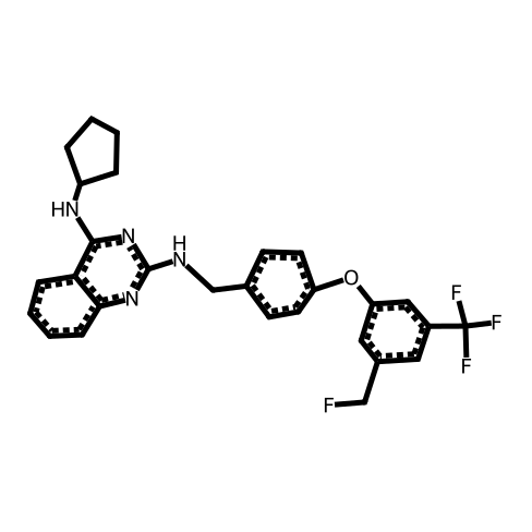 FCc1cc(Oc2ccc(CNc3nc(NC4CCCC4)c4ccccc4n3)cc2)cc(C(F)(F)F)c1